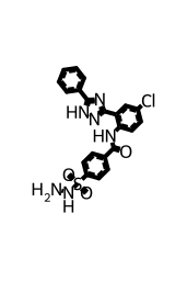 NNS(=O)(=O)c1ccc(C(=O)Nc2ccc(Cl)cc2-c2n[nH]c(-c3ccccc3)n2)cc1